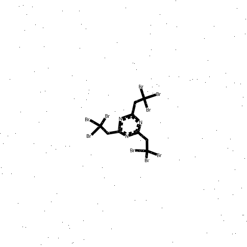 BrC(Br)(Br)Cc1nc(CC(Br)(Br)Br)nc(CC(Br)(Br)Br)n1